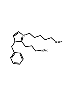 CCCCCCCCCCCCCCC[n+]1ccn(Cc2ccccc2)c1CCCCCCCCCCCCC